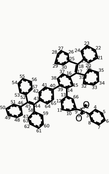 O=S(=O)(c1ccccc1)c1cccc(-c2cc(C(=C(c3ccccc3)c3ccccc3)c3ccccc3)ccc2-c2ccc(C(=C(c3ccccc3)c3ccccc3)c3ccccc3)cc2)c1